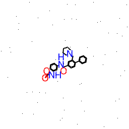 O=C(Nc1ccc2oc(=O)[nH]c2c1)c1ccc(-c2ccccc2)c(CN2CCCCC2)c1